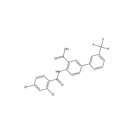 O=C(Nc1ccc(-c2cccc(C(F)(F)F)c2)cc1C(=O)O)c1ccc(Cl)cc1Cl